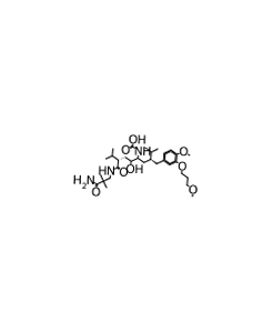 COCCCOc1cc(C[C@@H](CC(NC(=O)O)C(O)C[C@H](C(=O)NCC(C)(C)C(N)=O)C(C)C)C(C)C)ccc1OC